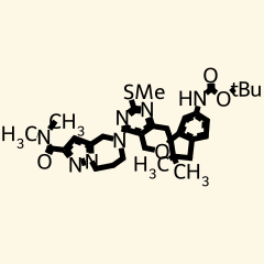 CSc1nc2c(c(N3CCCn4nc(C(=O)N(C)C)cc4C3)n1)COC1(C2)c2cc(NC(=O)OC(C)(C)C)ccc2CC1(C)C